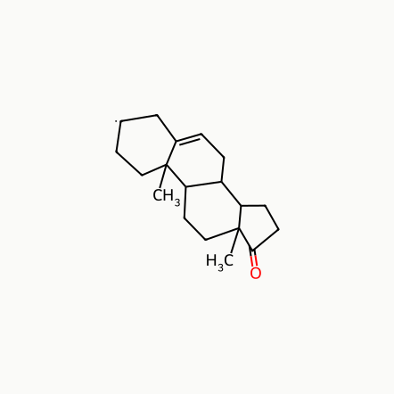 CC12CCC3C(CC=C4C[CH]CCC43C)C1CCC2=O